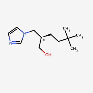 CC(C)(C)CC[C@@H](CO)Cn1ccnc1